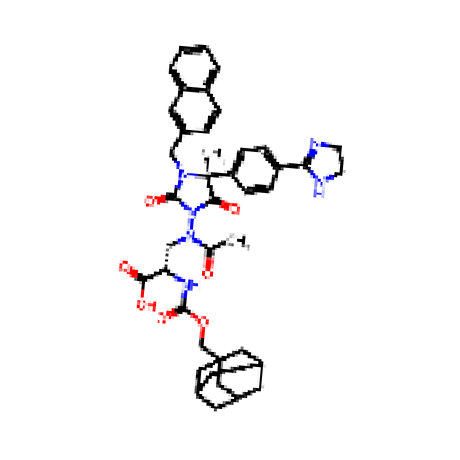 CC(=O)N(C[C@H](NC(=O)OCC12CC3CC(CC(C3)C1)C2)C(=O)O)N1C(=O)N(Cc2ccc3ccccc3c2)[C@](C)(c2ccc(C3=NCCN3)cc2)C1=O